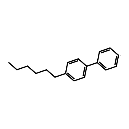 CCCCCCc1ccc(-c2cc[c]cc2)cc1